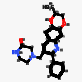 O=C1CN(Cc2cc3cc4c(cc3nc2-c2ccccc2)OCC(C(=O)O)O4)CCN1